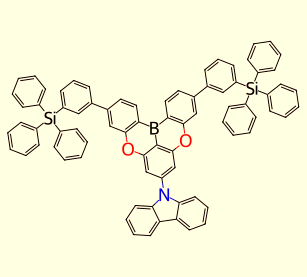 c1ccc([Si](c2ccccc2)(c2ccccc2)c2cccc(-c3ccc4c(c3)Oc3cc(-n5c6ccccc6c6ccccc65)cc5c3B4c3ccc(-c4cccc([Si](c6ccccc6)(c6ccccc6)c6ccccc6)c4)cc3O5)c2)cc1